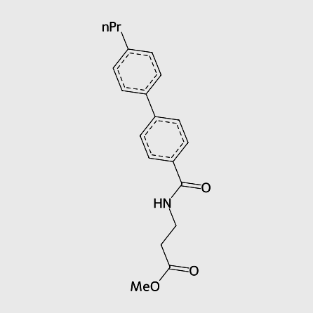 CCCc1ccc(-c2ccc(C(=O)NCCC(=O)OC)cc2)cc1